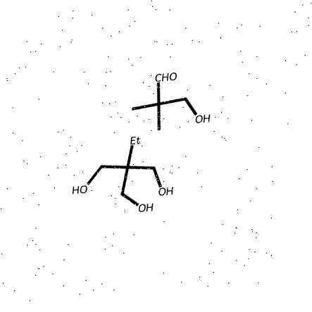 CC(C)(C=O)CO.CCC(CO)(CO)CO